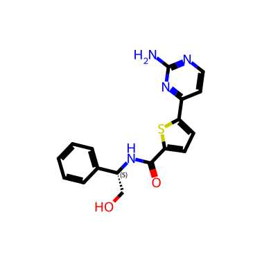 Nc1nccc(-c2ccc(C(=O)N[C@H](CO)c3ccccc3)s2)n1